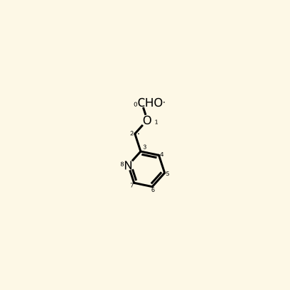 O=[C]O[CH]c1ccccn1